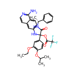 CCOc1cc(C(Nc2ccc3c(N)nccc3c2)(OC(=O)C(F)(F)F)C(=O)N[C@H](C)c2ccccc2)ccc1OC(C)C